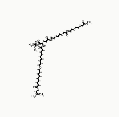 COC(=O)COCCOCCNC(=O)COCCOCCNC(=O)CC[C@H](NC(=O)CCCCCCCCOCCCCCCCCC(=O)OCC(C)C)C(=O)OC(C)(C)C